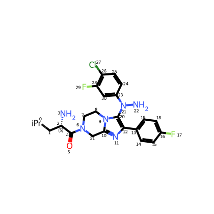 CC(C)C[C@H](N)C(=O)N1CCn2c(nc(-c3ccc(F)cc3)c2N(N)c2ccc(Cl)c(F)c2)C1